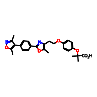 Cc1noc(C)c1-c1ccc(-c2nc(CCOc3ccc(OC(C)(C)C(=O)O)cc3)c(C)o2)cc1